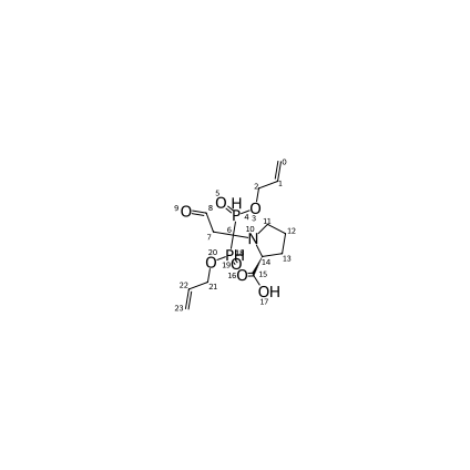 C=CCO[PH](=O)C(CC=O)(N1CCC[C@H]1C(=O)O)[PH](=O)OCC=C